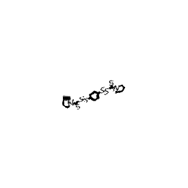 S=C(SSc1ccc(SSC(=S)N2CCCC2)cc1)N1CCCC1